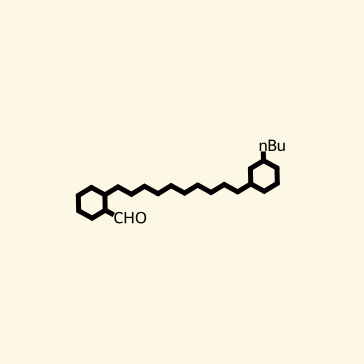 CCCCC1CCCC(CCCCCCCCCCC2CCCCC2C=O)C1